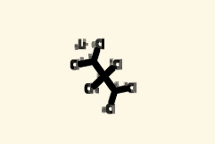 ClC(Cl)C(Cl)(Cl)C(Cl)Cl.[Li]